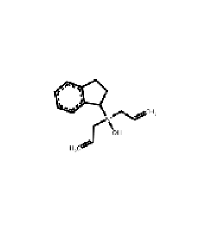 C=CC[N+](O)(CC=C)C1CCc2ccccc21